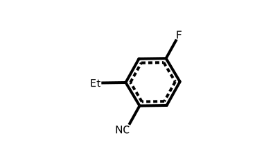 [CH2]Cc1cc(F)ccc1C#N